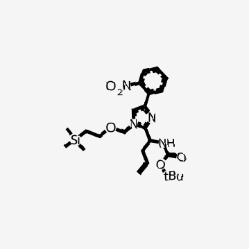 C=CCC(NC(=O)OC(C)(C)C)c1nc(-c2ccccc2[N+](=O)[O-])cn1COCC[Si](C)(C)C